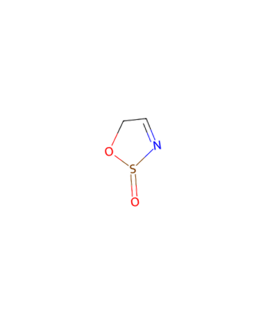 O=S1N=CCO1